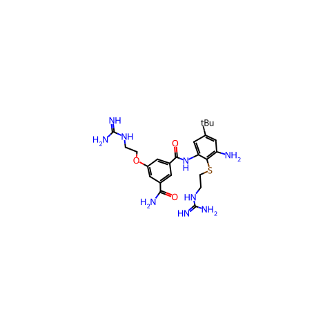 CC(C)(C)c1cc(N)c(SCCNC(=N)N)c(NC(=O)c2cc(OCCNC(=N)N)cc(C(N)=O)c2)c1